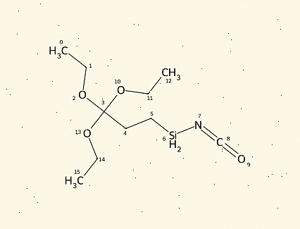 CCOC(CC[SiH2]N=C=O)(OCC)OCC